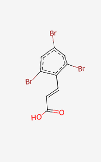 O=C(O)C=Cc1c(Br)cc(Br)cc1Br